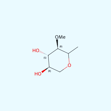 CO[C@H]1C(C)OC[C@@H](O)[C@@H]1O